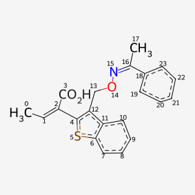 CC=C(C(=O)O)c1sc2ccccc2c1CON=C(C)c1ccccc1